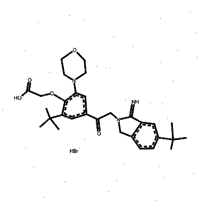 Br.CC(C)(C)c1ccc2c(c1)C(=N)N(CC(=O)c1cc(N3CCOCC3)c(OCC(=O)O)c(C(C)(C)C)c1)C2